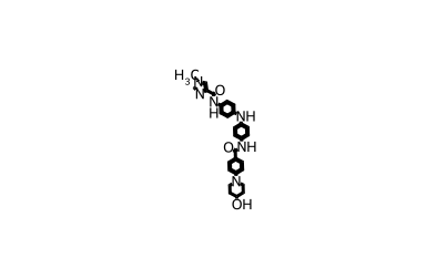 Cn1cnc(C(=O)Nc2ccc(Nc3ccc(NC(=O)c4ccc(N5CCC(O)CC5)cc4)cc3)cc2)c1